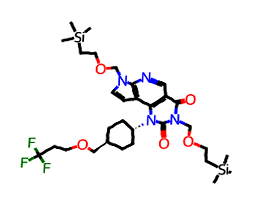 C[Si](C)(C)CCOCn1c(=O)c2cnc3c(ccn3COCC[Si](C)(C)C)c2n([C@H]2CC[C@H](COCCC(F)(F)F)CC2)c1=O